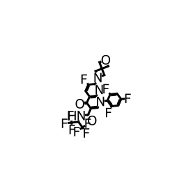 O=C(NC(C(F)(F)F)C(F)(F)F)c1cn(-c2c(F)cc(F)cc2F)c2nc(N3CC4(COC4)C3)c(F)cc2c1=O